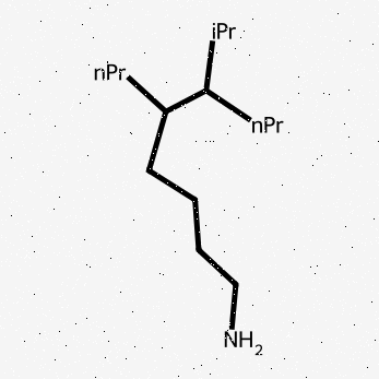 CCCC(CCCCN)C(CCC)C(C)C